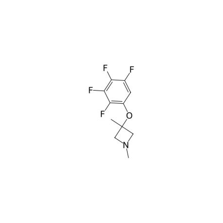 CN1CC(C)(Oc2cc(F)c(F)c(F)c2F)C1